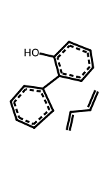 C=CC=C.Oc1ccccc1-c1ccccc1